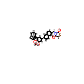 O=C1CSC(=O)N1Cc1ccc2cc(-c3cc4c(c(C56CC7CC(CC(C7)C5)C6)c3)OCO4)ccc2c1